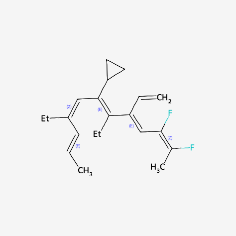 C=CC(=C\C(F)=C(/C)F)/C(CC)=C(/C=C(\C=C\C)CC)C1CC1